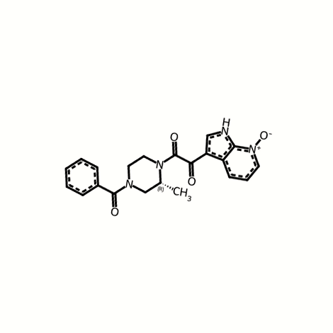 C[C@@H]1CN(C(=O)c2ccccc2)CCN1C(=O)C(=O)c1c[nH]c2c1ccc[n+]2[O-]